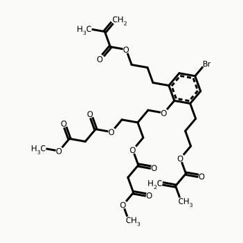 C=C(C)C(=O)OCCCc1cc(Br)cc(CCCOC(=O)C(=C)C)c1OCC(COC(=O)CC(=O)OC)COC(=O)CC(=O)OC